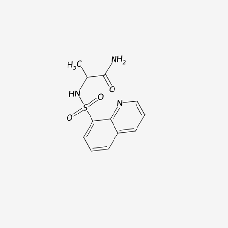 CC(NS(=O)(=O)c1cccc2cccnc12)C(N)=O